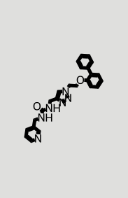 O=C(NCc1cccnc1)NCc1cn(CCOc2ccccc2-c2ccccc2)nn1